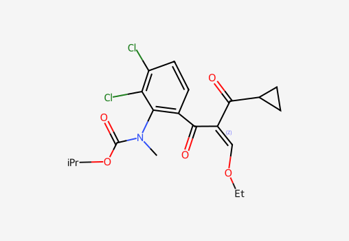 CCO/C=C(\C(=O)c1ccc(Cl)c(Cl)c1N(C)C(=O)OC(C)C)C(=O)C1CC1